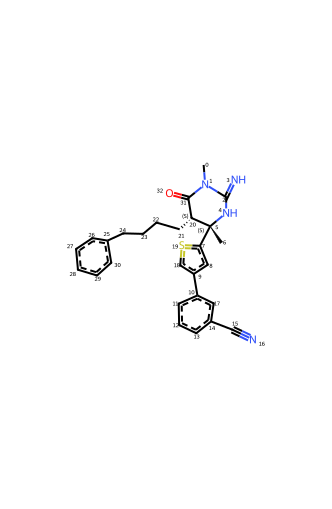 CN1C(=N)N[C@](C)(c2cc(-c3cccc(C#N)c3)cs2)[C@H](CCCCc2ccccc2)C1=O